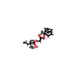 CC(C)(C)CC(C)(C(=O)OCC(=O)O[C@]1(C)CCC23CC(CC1C2)C3)C(C)(C)C